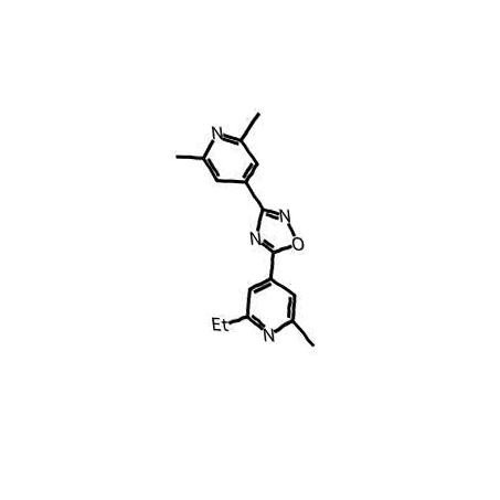 CCc1cc(-c2nc(-c3cc(C)nc(C)c3)no2)cc(C)n1